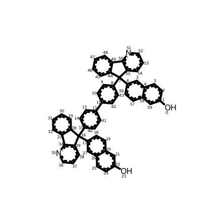 Oc1ccc2cc(C3(c4ccc(-c5ccc(C6(c7ccc8cc(O)ccc8c7)c7ccccc7-c7ncccc76)cc5)cc4)c4ccccc4-c4ncccc43)ccc2c1